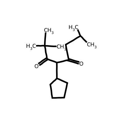 CC(C)CC(=O)C(C(=O)C(C)(C)C)C1CCCC1